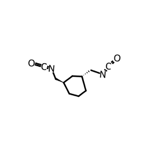 O=C=NC[C@@H]1CCC[C@@H](CN=C=O)C1